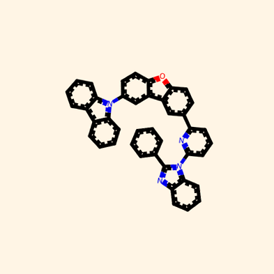 c1ccc(-c2nc3ccccc3n2-c2cccc(-c3ccc4oc5ccc(-n6c7ccccc7c7ccccc76)cc5c4c3)n2)cc1